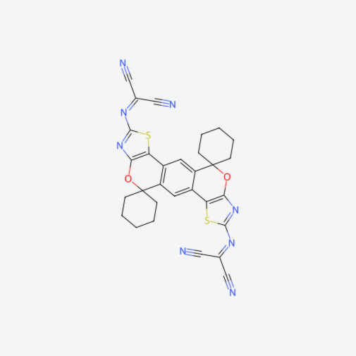 N#CC(C#N)=Nc1nc2c(s1)-c1cc3c(cc1C1(CCCCC1)O2)-c1sc(N=C(C#N)C#N)nc1OC31CCCCC1